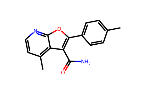 Cc1ccc(-c2oc3nccc(C)c3c2C(N)=O)cc1